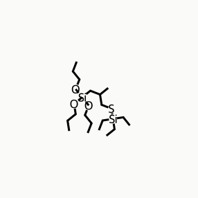 CCCO[Si](CC(C)CS[Si](CC)(CC)CC)(OCCC)OCCC